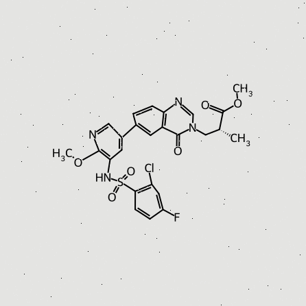 COC(=O)[C@H](C)Cn1cnc2ccc(-c3cnc(OC)c(NS(=O)(=O)c4ccc(F)cc4Cl)c3)cc2c1=O